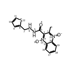 Cc1c(C(=O)NNCc2cccs2)[n+]([O-])c2ccccc2[n+]1[O-]